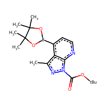 Cc1nn(C(=O)OC(C)(C)C)c2nccc(B3OC(C)(C)C(C)(C)O3)c12